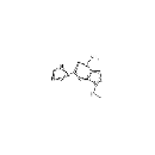 Nc1cc(-n2cncn2)cc2c1cnn2PI